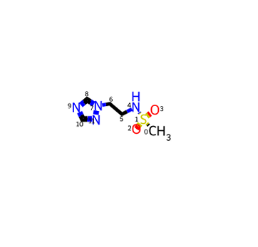 CS(=O)(=O)NCCn1cncn1